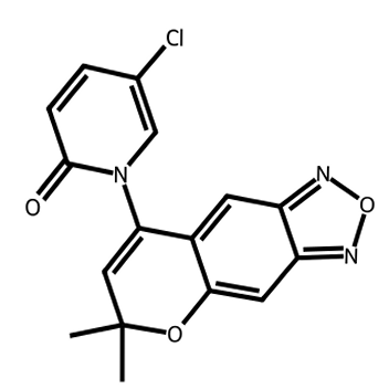 CC1(C)C=C(n2cc(Cl)ccc2=O)c2cc3nonc3cc2O1